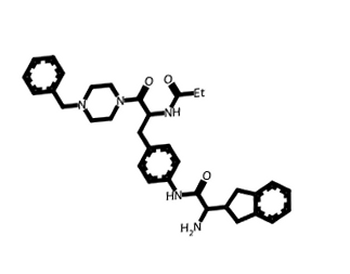 CCC(=O)NC(Cc1ccc(NC(=O)C(N)C2Cc3ccccc3C2)cc1)C(=O)N1CCN(Cc2ccccc2)CC1